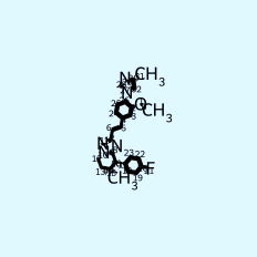 COc1cc(C=Cc2nc3n(n2)CC[C@@H](C)[C@@H]3c2ccc(F)cc2)ccc1-n1cnc(C)c1